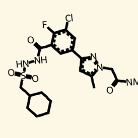 CNC(=O)Cn1nc(-c2cc(Cl)c(F)c(C(=O)NNS(=O)(=O)CC3CCCCC3)c2)cc1C